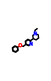 CCN1CCCC(c2ccc(COc3ccccc3)cn2)C1